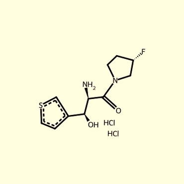 Cl.Cl.N[C@@H](C(=O)N1CC[C@H](F)C1)[C@@H](O)c1ccsc1